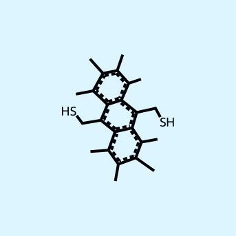 Cc1c(C)c(C)c2c(CS)c3c(C)c(C)c(C)c(C)c3c(CS)c2c1C